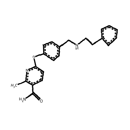 Cc1nc(Oc2ccc(CNCCc3ccccc3)cc2)ccc1C(N)=O